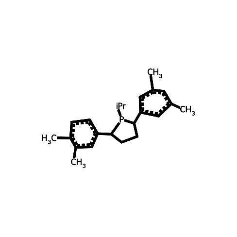 Cc1cc(C)cc(C2CCC(c3ccc(C)c(C)c3)P2C(C)C)c1